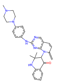 C=C1C=Cc2cnc(Nc3ccc(N4CCN(C)CC4)cc3)nc2N1C1C(=O)c2ccccc2NC1(C)C